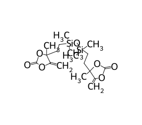 C=C1OC(=O)OC1(C)CC[Si](C)(C)O[Si](C)(C)CCC1(C)OC(=O)OC1=C